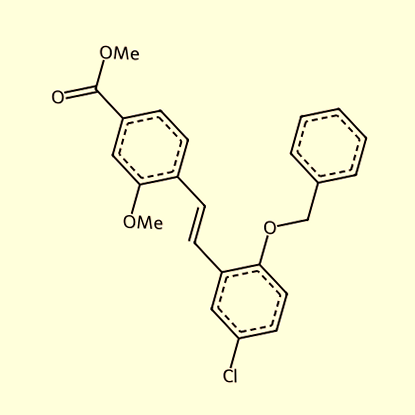 COC(=O)c1ccc(C=Cc2cc(Cl)ccc2OCc2ccccc2)c(OC)c1